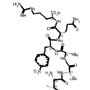 CCCC[C@H](NC(=O)[C@@H](NC(=O)[C@@H](N)[C@@H](C)O)[C@@H](C)CC)C(=O)N[C@@H](Cc1ccc([N+](=O)[O-])cc1)C(=O)N[C@@H](CCC(N)=O)C(=O)N[C@@H](CCCNC(=N)N)C(=O)O